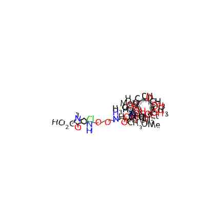 CC[C@H]1OC(=O)[C@H](C)[C@@H](OC(CCOC)O[C@@H](C)[C@@H](C)OC(=O)CCNCCOCCOCCNc2cc3c(=O)c(C(=O)O)cn(C4CC4)c3cc2Cl)[C@H](C)[C@@H](OC2O[C@H](C)C[C@H](N(C)C)[C@H]2O)[C@](C)(OC)C[C@@H](C)C(=O)[C@H](C)[C@@H](O)[C@]1(C)O